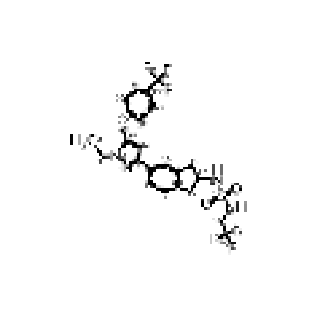 CCn1nc(-c2ccc3c(c2)CC(NS(=O)(=O)NCC(F)(F)F)C3)cc1Oc1ccc(C(F)(F)F)cc1